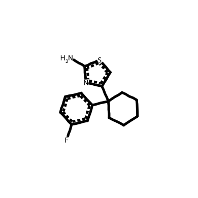 Nc1nc(C2(c3cccc(F)c3)CCCCC2)cs1